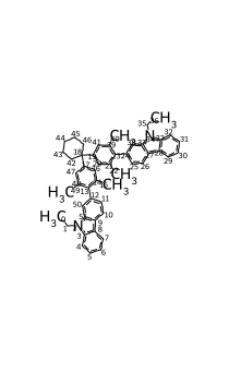 CCn1c2ccccc2c2ccc(-c3c(C)cc(C4(c5cc(C)c(-c6ccc7c8ccccc8n(CC)c7c6)c(C)c5)CCCCC4)cc3C)cc21